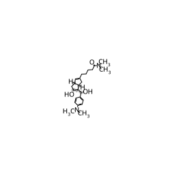 CN(C)C(=O)CCCCC1=C[C@H]2C[C@@H](O)[C@H]([C@H](O)c3ccc(N(C)C)cc3)[C@H]2C1